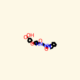 O=C(NCCNC(=O)N1CCc2ccccc2C1)c1ccc(O[C@H]2CC[C@@H](C(=O)O)CC2)cc1